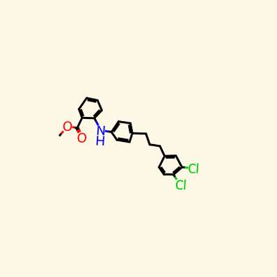 COC(=O)c1ccccc1Nc1ccc(CCCc2ccc(Cl)c(Cl)c2)cc1